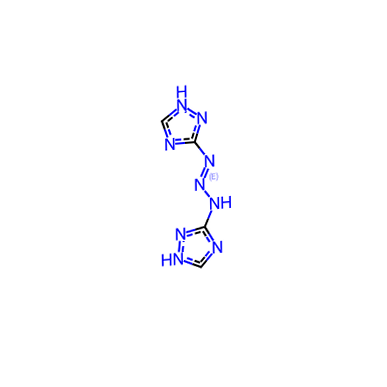 c1nc(/N=N/Nc2nc[nH]n2)n[nH]1